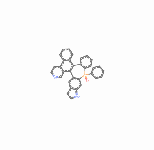 O=P1(c2ccccc2)c2ccccc2-c2c(c3cnccc3c3ccccc23)-c2cc3cc[nH]c3cc21